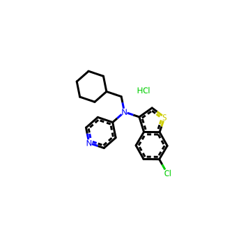 Cl.Clc1ccc2c(N(CC3CCCCC3)c3ccncc3)csc2c1